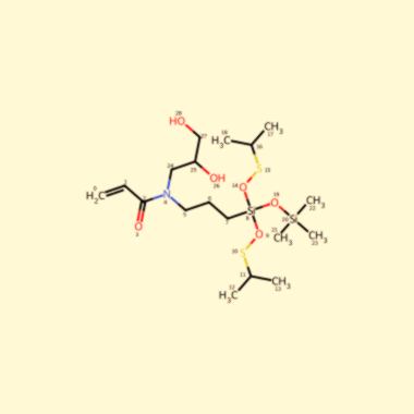 C=CC(=O)N(CCC[Si](OSC(C)C)(OSC(C)C)O[Si](C)(C)C)CC(O)CO